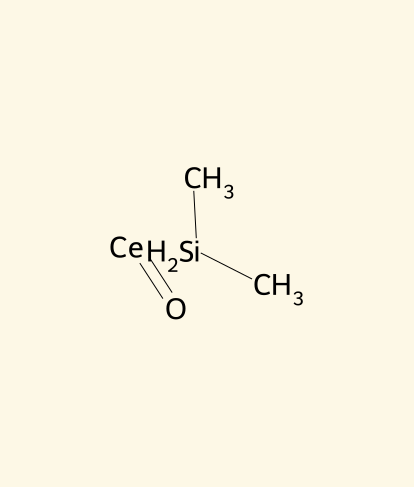 C[SiH2]C.[O]=[Ce]